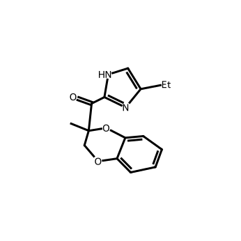 CCc1c[nH]c(C(=O)C2(C)COc3ccccc3O2)n1